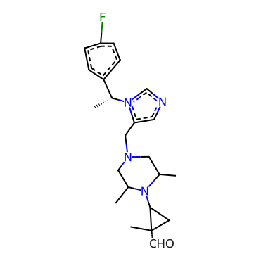 CC1CN(Cc2cncn2[C@H](C)c2ccc(F)cc2)CC(C)N1C1CC1(C)C=O